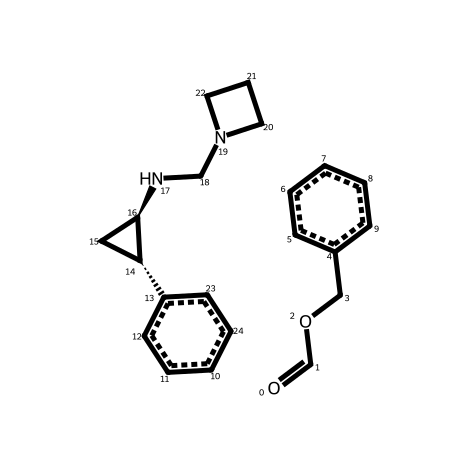 O=COCc1ccccc1.c1ccc([C@@H]2C[C@H]2NCN2CCC2)cc1